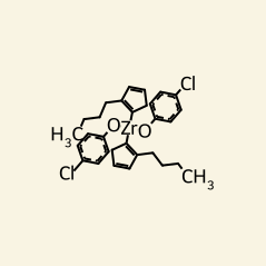 CCCCC1=[C]([Zr]([O]c2ccc(Cl)cc2)([O]c2ccc(Cl)cc2)[C]2=C(CCCC)C=CC2)CC=C1